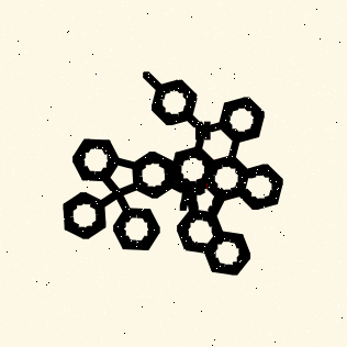 Cc1ccc(N(c2ccc(C)cc2)c2ccccc2-c2cc3c(c4ccccc24)c2c4ccccc4ccc2n3-c2ccc3c(c2)C(c2ccccc2)(c2ccccc2)c2ccccc2-3)cc1